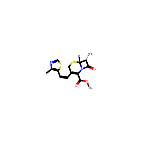 Cc1ncsc1/C=C\C1=C(C(=O)OC(C)(C)C)N2C(=O)[C@@H](N)[C@H]2SC1